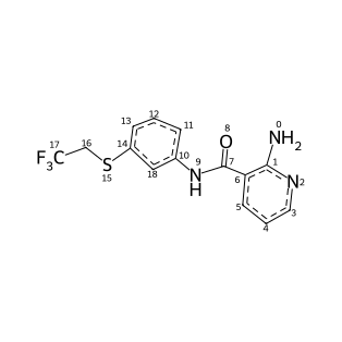 Nc1ncccc1C(=O)Nc1cccc(SCC(F)(F)F)c1